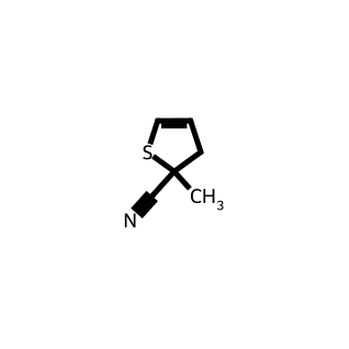 CC1(C#N)CC=CS1